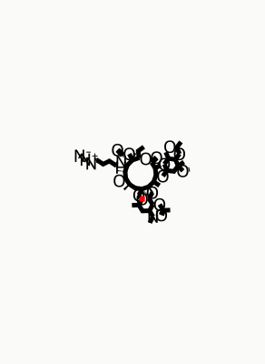 CCC1OC(=O)C(C)[C@@H](OC2CC(C)(OC)C(OC(C)=O)C(C)O2)C(C)[C@@H](OC2OC(C)CC(N(C)C)C2OC(C)=O)[C@@](C)(OC)C[C@@H](C)C(=O)[C@H](C)[C@H]2N(CCCCN=[N+]=[N-])C(=O)O[C@]12C